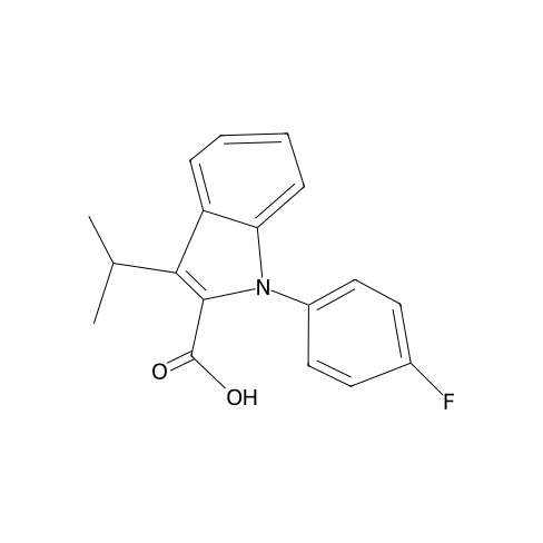 CC(C)c1c(C(=O)O)n(-c2ccc(F)cc2)c2ccccc12